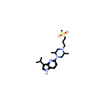 CC(C)c1c[nH]c2ccc(N3CC(C)N(CCCS(C)(=O)=O)CC3C)nc12